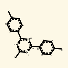 Cc1ccc(-c2nc(C)nc(-c3ccc(C)cc3)n2)cc1